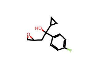 OC(CC1CO1)(c1ccc(F)cc1)C1CC1